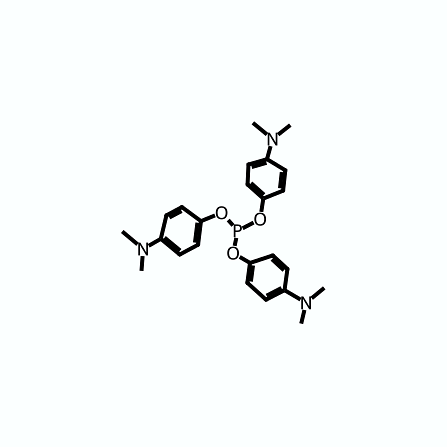 CN(C)c1ccc(OP(Oc2ccc(N(C)C)cc2)Oc2ccc(N(C)C)cc2)cc1